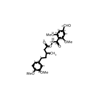 COc1ccc(CCC(C)CC(=O)ONC(=O)c2c(OC)cc(C=O)cc2OC)cc1OC